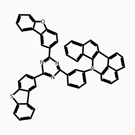 c1cc(-c2nc(-c3ccc4oc5ccccc5c4c3)nc(-c3ccc4sc5ccccc5c4c3)n2)cc(N2c3c(ccc4ccccc34)-c3cccc4cccc2c34)c1